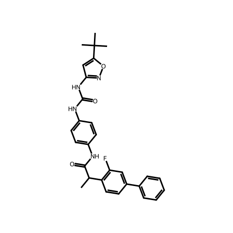 CC(C(=O)Nc1ccc(NC(=O)Nc2cc(C(C)(C)C)on2)cc1)c1ccc(-c2ccccc2)cc1F